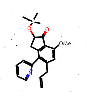 C=CCc1cc(OC)c2c(c1-c1ccccn1)CC(O[Si](C)(C)C)C2=O